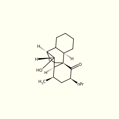 CCC[C@H]1C[C@@H](C)[C@H]2[C@H](O)[C@H]3OC[C@]2(C1=O)[C@@H]1CCCCC13